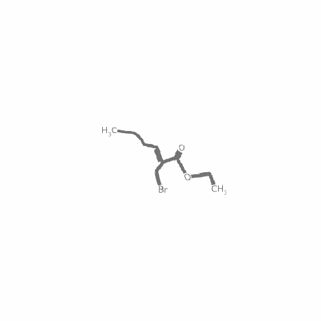 CCCC=C(CBr)C(=O)OCC